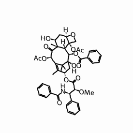 CO[C@H](C(=O)O[C@H]1C[C@@]2(O)[C@H](OC(=O)c3ccccc3)[C@H]3[C@@]4(OC(C)=O)CO[C@@H]4C[C@H](O)[C@@]3(C)C(=O)[C@H](OC(C)=O)C(=C1C)C2(C)C)[C@H](NC(=O)c1ccccc1)c1ccccc1